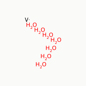 O.O.O.O.O.O.O.[V]